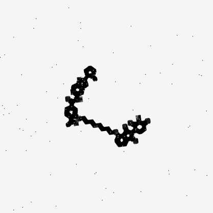 Cc1nn(CCCCCCCCOc2cccc3c2C(=O)N(C2CCC(=O)NC2=O)C3=O)c2cc(C(=O)Nc3cn4cc([C@H]5CCCN5C)nc4cn3)ccc12